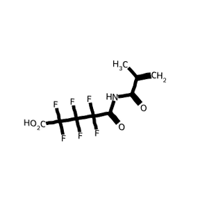 C=C(C)C(=O)NC(=O)C(F)(F)C(F)(F)C(F)(F)C(=O)O